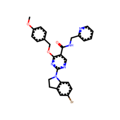 COc1ccc(COc2nc(N3CCc4cc(Br)ccc43)ncc2C(=O)NCc2ccccn2)cc1